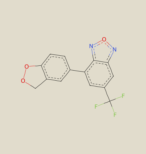 FC(F)(F)c1cc(-c2ccc3c(c2)COO3)c2nonc2c1